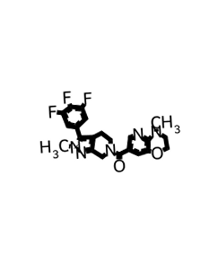 CN1CCOc2cc(C(=O)N3CCc4c(nn(C)c4-c4cc(F)c(F)c(F)c4)C3)cnc21